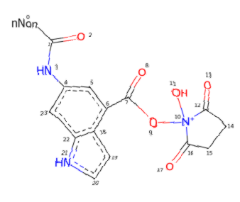 CCCCCCCCCC(=O)Nc1cc(C(=O)O[N+]2(O)C(=O)CCC2=O)c2cc[nH]c2c1